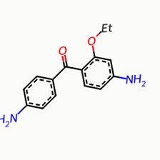 CCOc1cc(N)ccc1C(=O)c1ccc(N)cc1